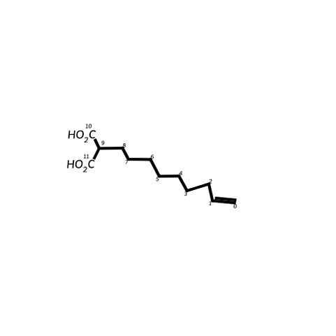 C=CCCCCCCCC(C(=O)O)C(=O)O